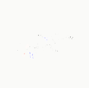 CCCn1c(-c2ccc(NS(=O)(=O)C3CC3)cc2)c(C#N)c2cc(OC)ccc21